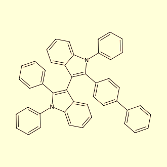 c1ccc(-c2ccc(-c3c(-c4c(-c5ccccc5)n(-c5ccccc5)c5ccccc45)c4ccccc4n3-c3ccccc3)cc2)cc1